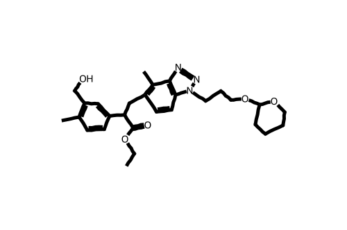 CCOC(=O)C(Cc1ccc2c(nnn2CCCOC2CCCCO2)c1C)c1ccc(C)c(CO)c1